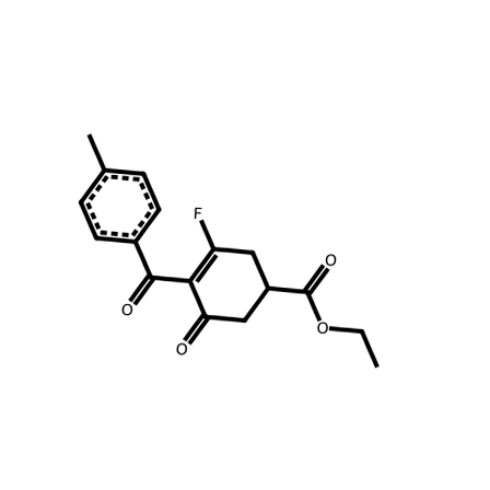 CCOC(=O)C1CC(=O)C(C(=O)c2ccc(C)cc2)=C(F)C1